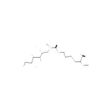 CNC(CCCCNC(=O)N(C)C[C@H](O)[C@@H](O)[C@H](O)[C@H](O)CO)C(=O)O